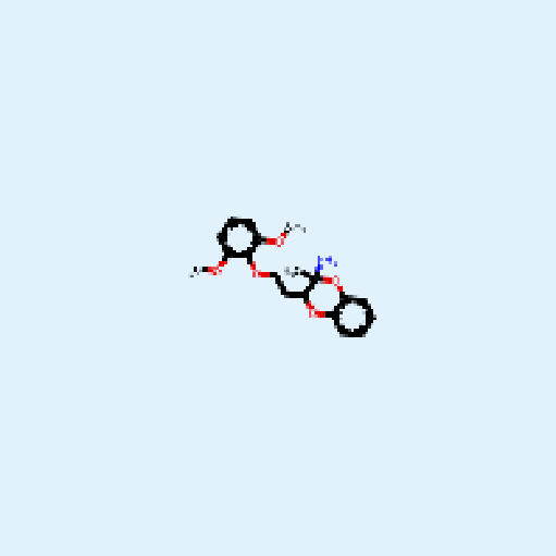 COc1cccc(OC)c1OCCC1Oc2ccccc2OC1(C)N